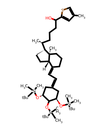 Cc1csc(C(O)CCC[C@@H](C)[C@H]2CC[C@H]3/C(=C/C=C4C[C@@H](O[Si](C)(C)C(C)(C)C)C(O[Si](C)(C)C(C)(C)C)[C@H](O[Si](C)(C)C(C)(C)C)C4)CCC[C@]23C)c1